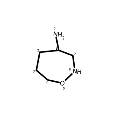 NC1CCCONC1